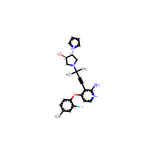 CC(C)(C#Cc1c(Oc2ccc([N+](=O)[O-])cc2F)ccnc1N)N1C[C@@H](O)[C@H](n2cccc2)C1